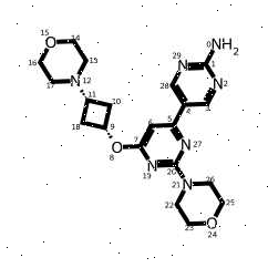 Nc1ncc(-c2cc(O[C@H]3C[C@@H](N4CCOCC4)C3)nc(N3CCOCC3)n2)cn1